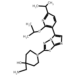 CC(C)Oc1nc(C(C)C)ccc1-c1cnc2sc(N3CCC(O)(CN)CC3)nn12